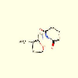 O=C(O)c1ccoc1C(=O)O.O=C1CCCC(=O)N1